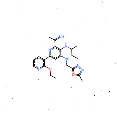 CCOc1ncccc1-c1cc(NCc2nnc(C)o2)c(NC(C)CC)c(C(C)=N)n1